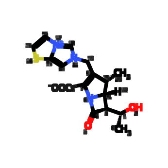 C[C@@H](O)[C@H]1C(=O)N2C(C(=O)[O-])=C(Cn3cc4scc[n+]4c3)[C@H](C)[C@H]12